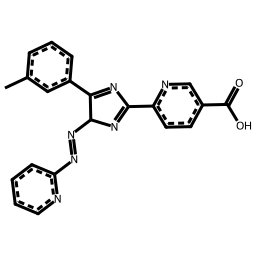 Cc1cccc(C2=NC(c3ccc(C(=O)O)cn3)=NC2N=Nc2ccccn2)c1